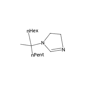 CCCCCCC(C)(CCCCC)N1C=NCC1